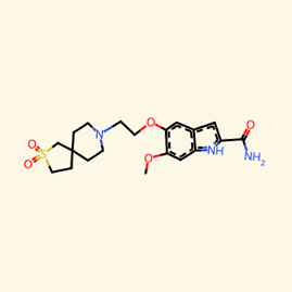 COc1cc2[nH]c(C(N)=O)cc2cc1OCCN1CCC2(CC1)CCS(=O)(=O)C2